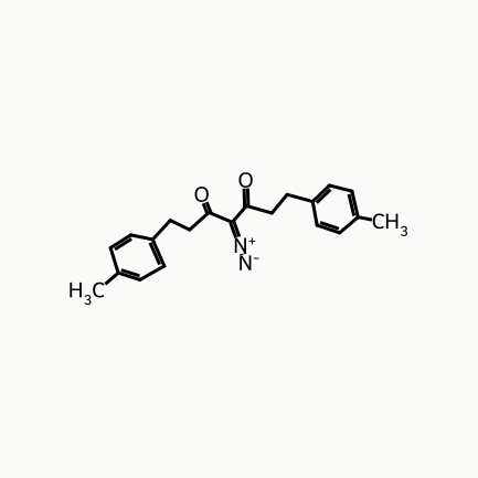 Cc1ccc(CCC(=O)C(=[N+]=[N-])C(=O)CCc2ccc(C)cc2)cc1